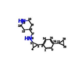 c1cc(C2CC2NCC2CCNCC2)ccc1C1CC1